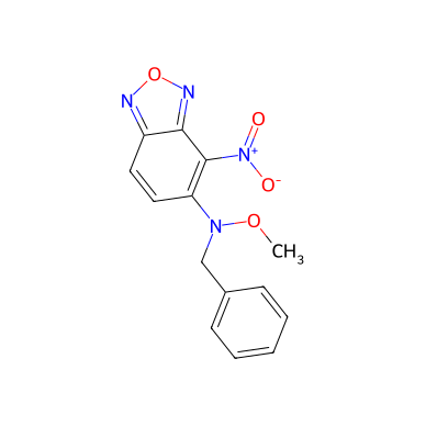 CON(Cc1ccccc1)c1ccc2nonc2c1[N+](=O)[O-]